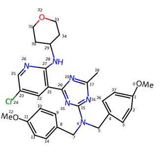 COc1ccc(CN(Cc2ccc(OC)cc2)c2nc(C)nc(-c3cc(Cl)cnc3NC3CCOCC3)n2)cc1